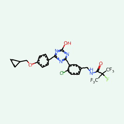 O=C(NCc1ccc(Cl)c(-c2nc(O)nc(-c3ccc(OCC4CC4)cc3)n2)c1)C(F)(C(F)(F)F)C(F)(F)F